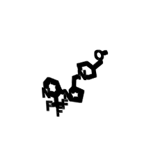 COCC1CCN(Cc2cccn2-c2cccnc2C(F)(F)F)CC1